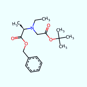 CCN(CC(=O)OC(C)(C)C)[C@H](C)C(=O)OCc1ccccc1